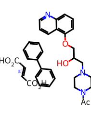 CC(=O)N1CCN(CC(O)COc2cccc3ncccc23)CC1.O=C(O)/C=C/C(=O)O.c1ccc(-c2ccccc2)cc1